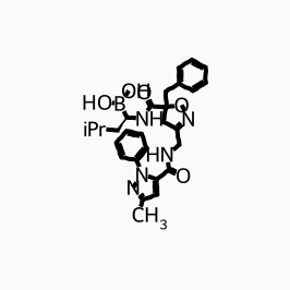 Cc1cc(C(=O)NCC2=NOC(Cc3ccccc3)(C(=O)N[C@@H](CC(C)C)B(O)O)C2)n(-c2ccccc2)n1